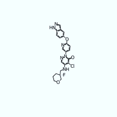 O=c1c(Cl)c(NC[C@]2(F)CCCOC2)cnn1-c1ccc(Oc2ccc3[nH]ncc3c2)nc1